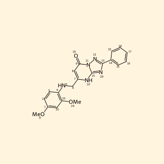 COc1ccc(NCc2cc(=O)n3nc(-c4ccccc4)nc3[nH]2)c(OC)c1